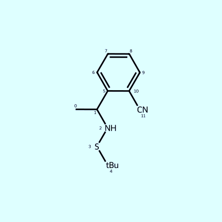 CC(NSC(C)(C)C)c1ccccc1C#N